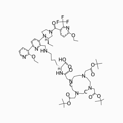 CCOc1ccc(C(=O)N2CCN(c3ccc(-c4cccnc4OCC)nc3CNCCCC[C@@H](NC(=O)CN3CCN(CC(=O)OC(C)(C)C)CCN(CC(=O)OC(C)(C)C)CCN(CC(=O)OC(C)(C)C)CC3)C(=O)O)[C@H](CC)C2)c(C(F)(F)F)n1